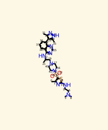 Cc1nc(NCCN(C)C)sc1S(=O)(=O)N1CCN(CC(C)Nc2ncnc3c(-c4c(C)n[nH]c4C)cccc23)CC1